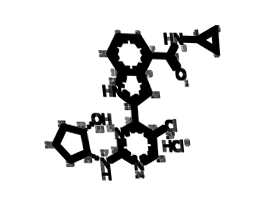 Cl.O=C(NC1CC1)c1cccc2[nH]c(-c3nc(N[C@@H]4CCC[C@@H]4O)ncc3Cl)cc12